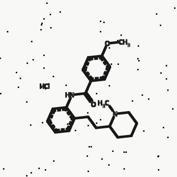 COc1ccc(C(=O)Nc2ccccc2CCC2CCCCN2C)cc1.Cl